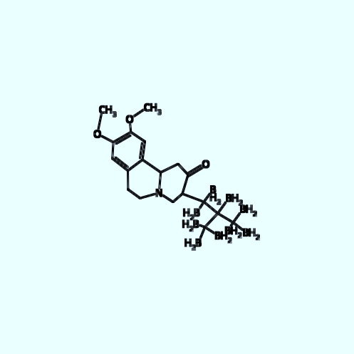 BC(B)(B)C(B)(C(B)(B)B)C(B)(B)C1CN2CCc3cc(OC)c(OC)cc3C2CC1=O